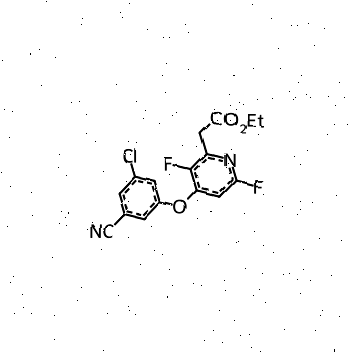 CCOC(=O)Cc1nc(F)cc(Oc2cc(Cl)cc(C#N)c2)c1F